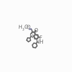 CO/C=C/c1cn(C2CCCC2)c2cc(NC3CCCCC3)c(F)cc2c1=O